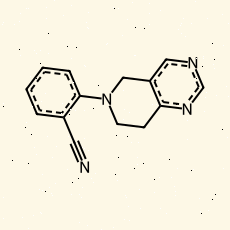 N#Cc1ccccc1N1CCc2ncncc2C1